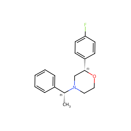 C[C@H](c1ccccc1)N1CCO[C@@H](c2ccc(F)cc2)C1